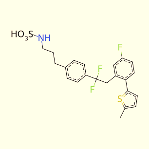 Cc1ccc(-c2ccc(F)cc2CC(F)(F)c2ccc(CCCNS(=O)(=O)O)cc2)s1